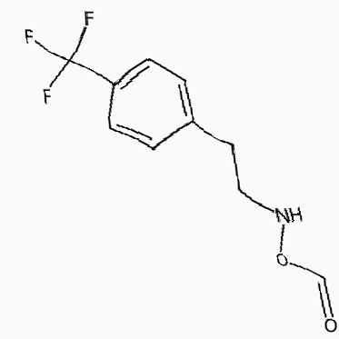 O=CONCCc1ccc(C(F)(F)F)cc1